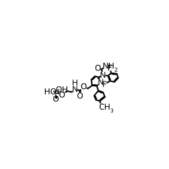 Cc1ccc(-c2nc(N(C(N)=O)c3c(F)cccc3F)ccc2COC(=O)NCCOP(=O)(O)O)cc1